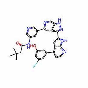 CC(C)(C)CC(=O)Nc1cncc(-c2cc3c(-c4cc5c(-c6cc(O)cc(F)c6)ccnc5[nH]4)n[nH]c3cn2)c1